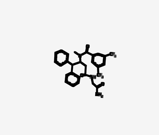 CN(C(=O)c1cc(C(F)(F)F)cc(C(F)(F)F)c1)C(CC(=O)NCC(N)=O)C(c1ccccc1)c1ccccc1